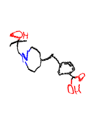 CC(C)(O)CN1CCC/C(=C\c2ccc(C(=O)O)cc2)CC1